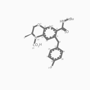 C[C@H]1COc2nc(C(=O)NC(C)(C)C)c(Cc3ccc(F)cc3)cc2N1C(=O)O